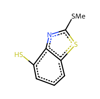 CSc1nc2c(S)cccc2s1